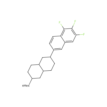 CCCCCCC1CCC2CC(c3ccc4c(F)c(F)c(F)cc4c3)CCC2C1